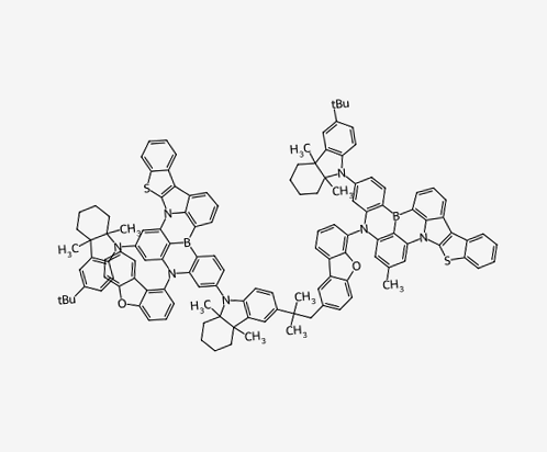 Cc1cc2c3c(c1)-n1c4sc5ccccc5c4c4cccc(c41)B3c1ccc(N3c4ccc(C(C)(C)C)cc4C4(C)CCCCC34C)cc1N2c1cccc2c1oc1ccc(CC(C)(C)c3ccc4c(c3)C3(C)CCCCC3(C)N4c3ccc4c(c3)N(c3cccc5oc6ccccc6c35)c3cc(N5c6ccc(C(C)(C)C)cc6C6(C)CCCCC56C)cc5c3B4c3cccc4c6c7ccccc7sc6n-5c34)cc12